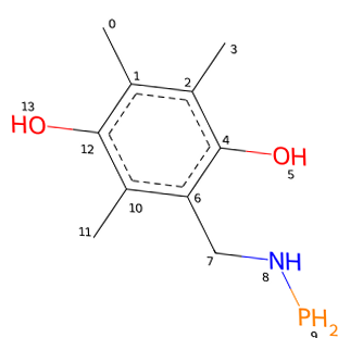 Cc1c(C)c(O)c(CNP)c(C)c1O